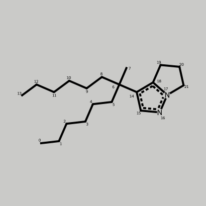 CCCCCCC(C)(CCCCCC)c1cnn2c1CCC2